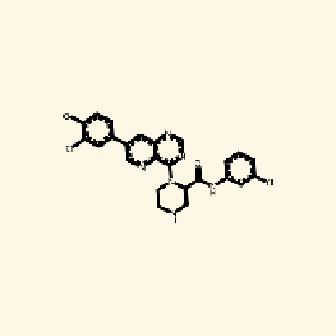 O=C(Nc1cccc(Cl)c1)C1CNCCN1c1ncnc2cc(-c3ccc(Cl)c(Cl)c3)cnc12